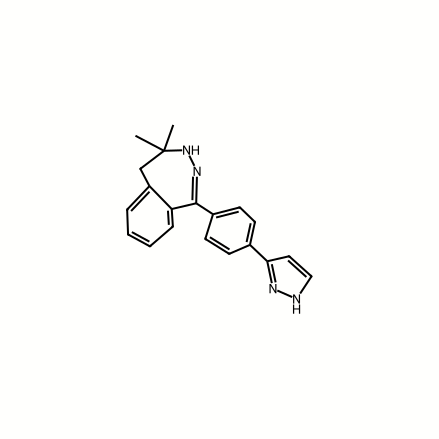 CC1(C)Cc2ccccc2C(c2ccc(-c3cc[nH]n3)cc2)=NN1